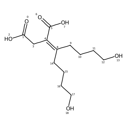 O=C(O)CC(C(=O)O)=C(CCCCO)CCCCO